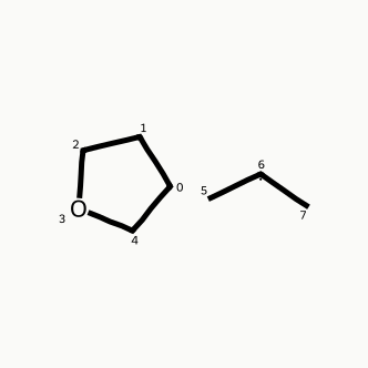 C1CCOC1.C[CH]C